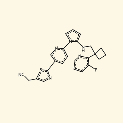 N#CCc1cnc(-c2ccc(-n3cccc3NCC3(c4ncccc4F)CCC3)nc2)s1